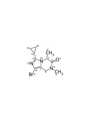 CC1C(=O)N(C)Cc2c(Br)nc(C3CC3)n21